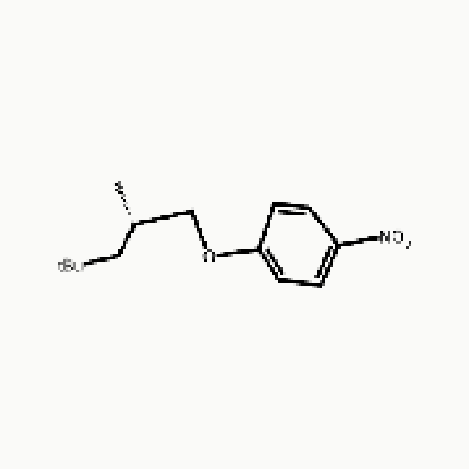 C[C@H](COc1ccc([N+](=O)[O-])cc1)CC(C)(C)C